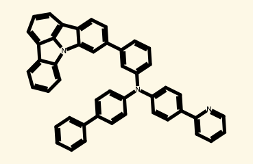 c1ccc(-c2ccc(N(c3ccc(-c4ccccn4)cc3)c3cccc(-c4ccc5c6cccc7c8ccccc8n(c5c4)c76)c3)cc2)cc1